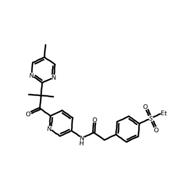 CCS(=O)(=O)c1ccc(CC(=O)Nc2ccc(C(=O)C(C)(C)c3ncc(C)cn3)nc2)cc1